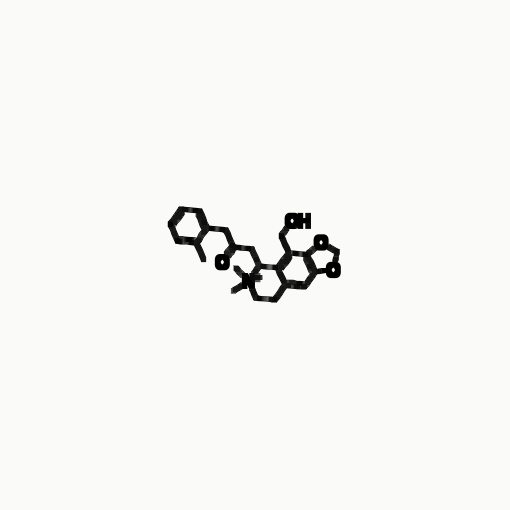 Cc1ccccc1CC(=O)CC1c2c(cc3c(c2CO)OCO3)CC[N+]1(C)C